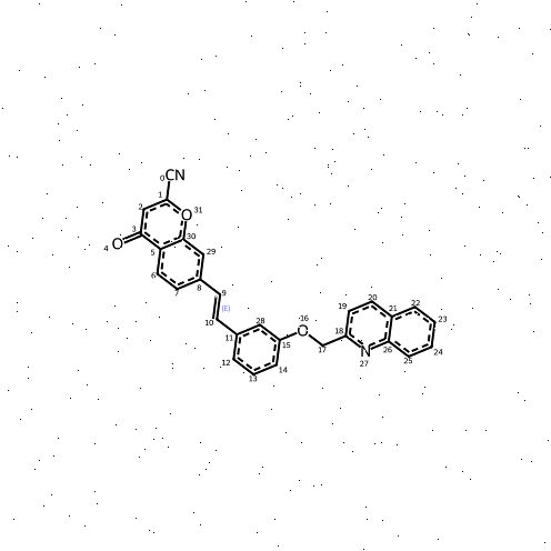 N#Cc1cc(=O)c2ccc(/C=C/c3cccc(OCc4ccc5ccccc5n4)c3)cc2o1